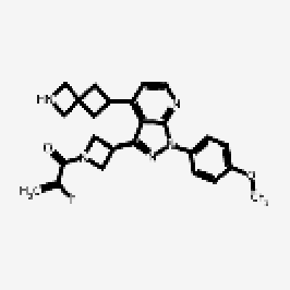 C=C(F)C(=O)N1CC(c2nn(-c3ccc(OC(F)(F)F)cc3)c3nccc(C4CC5(CNC5)C4)c23)C1